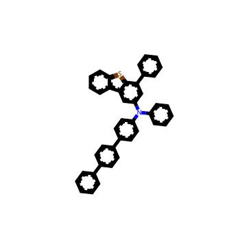 c1ccc(-c2ccc(-c3ccc(N(c4ccccc4)c4cc(-c5ccccc5)c5sc6ccccc6c5c4)cc3)cc2)cc1